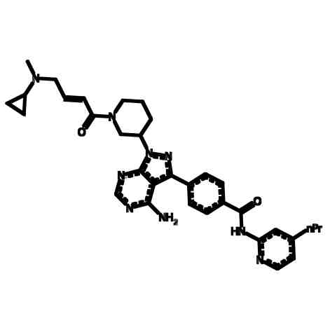 CCCc1ccnc(NC(=O)c2ccc(-c3nn(C4CCCN(C(=O)/C=C/CN(C)C5CC5)C4)c4ncnc(N)c34)cc2)c1